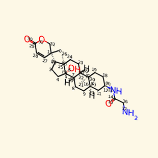 CC1([C@H]2CC[C@]3(O)[C@@H]4CC[C@@H]5C[C@H](NC(=O)CN)CC[C@]5(C)[C@H]4CC[C@]23C)C=CC(=O)OC1